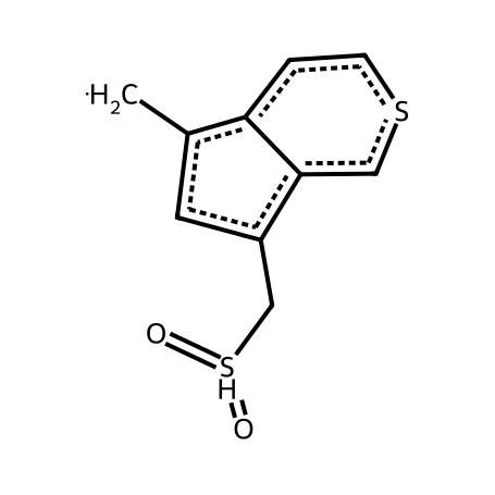 [CH2]c1cc(C[SH](=O)=O)c2csccc1-2